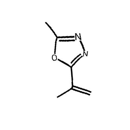 C=C(C)c1nnc(C)o1